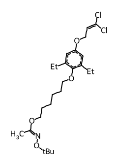 CCc1cc(OCC=C(Cl)Cl)cc(CC)c1OCCCCCCOC(C)=NOC(C)(C)C